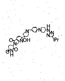 CC(C)c1cnc(NC2CCN(c3ccc(CN4CCC(O)(c5ccc6c(n5)CN(C5CCC(=O)NC5=O)C6=O)CC4)cc3)CC2)nc1